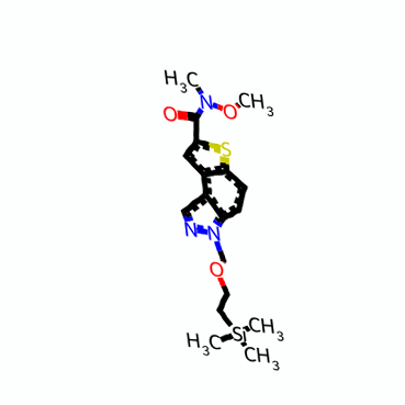 CON(C)C(=O)c1cc2c(ccc3c2cnn3COCC[Si](C)(C)C)s1